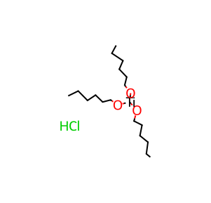 CCCCCC[O][Ti]([O]CCCCCC)[O]CCCCCC.Cl